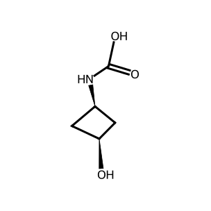 O=C(O)N[C@H]1C[C@@H](O)C1